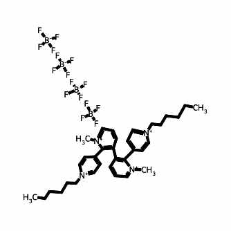 CCCCCC[n+]1ccc(-c2c(-c3ccc[n+](C)c3-c3cc[n+](CCCCCC)cc3)ccc[n+]2C)cc1.F[B-](F)(F)F.F[B-](F)(F)F.F[B-](F)(F)F.F[B-](F)(F)F